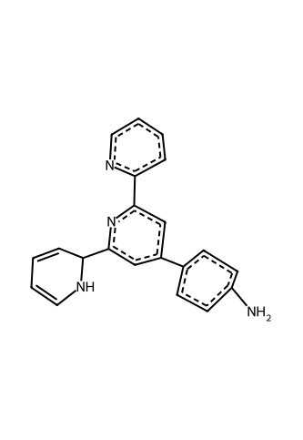 Nc1ccc(-c2cc(-c3ccccn3)nc(C3C=CC=CN3)c2)cc1